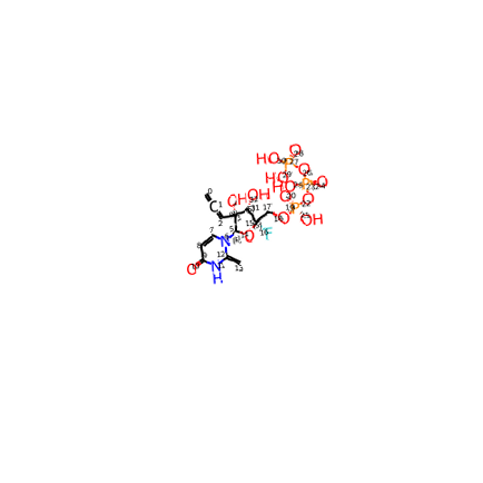 C=C=C[C@]1(O)[C@H](N2C=CC(=O)NC2=C)O[C@](F)(COP(=O)(O)OP(=O)(O)OP(=O)(O)O)[C@H]1O